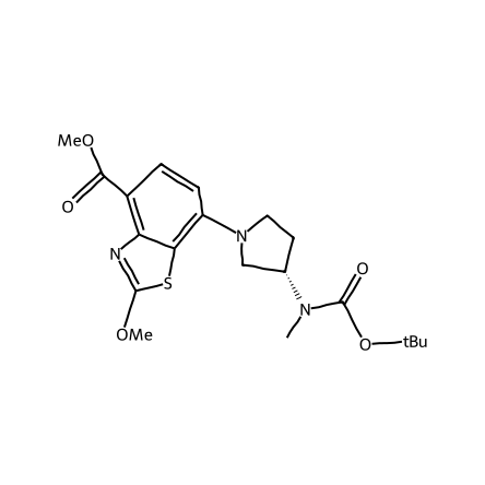 COC(=O)c1ccc(N2CC[C@H](N(C)C(=O)OC(C)(C)C)C2)c2sc(OC)nc12